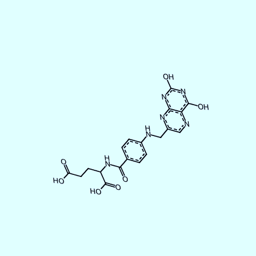 O=C(O)CCC(NC(=O)c1ccc(NCc2cnc3c(O)nc(O)nc3n2)cc1)C(=O)O